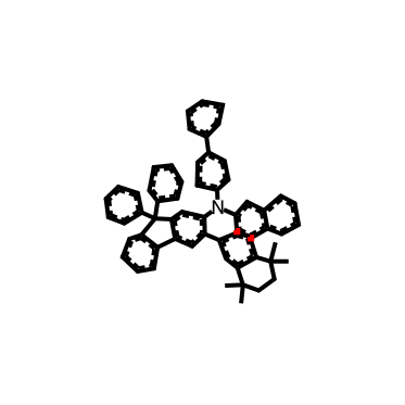 CC1(C)CCC(C)(C)c2cc(-c3cc4c(cc3N(c3ccc(-c5ccccc5)cc3)c3ccc5ccccc5c3)C(c3ccccc3)(c3ccccc3)c3ccccc3-4)ccc21